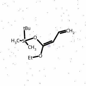 C=C/C=C(/OCC)O[Si](C)(C)C(C)(C)C